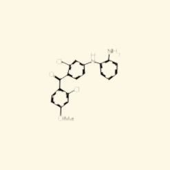 COc1ccc(C(=O)c2ccc(Nc3ccccc3N)cc2Cl)c(Cl)c1